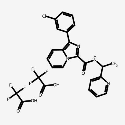 O=C(NC(c1ccccn1)C(F)(F)F)c1nc(-c2cccc(Cl)c2)c2ccccn12.O=C(O)C(F)(F)F.O=C(O)C(F)(F)F